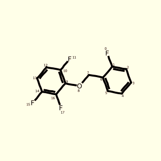 Fc1ccccc1COc1c(F)ccc(F)c1F